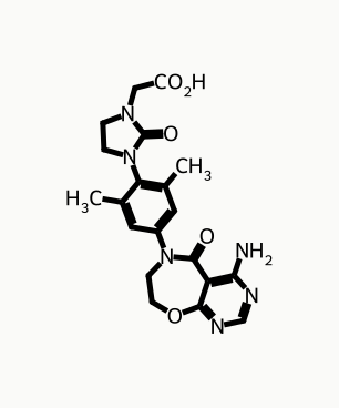 Cc1cc(N2CCOc3ncnc(N)c3C2=O)cc(C)c1N1CCN(CC(=O)O)C1=O